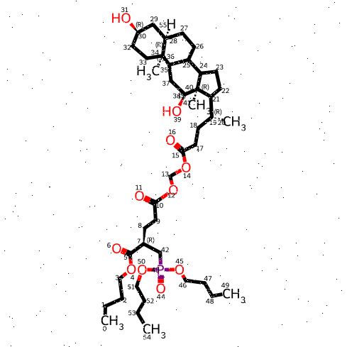 CCCCOC(=O)[C@@H](CCC(=O)OCOC(=O)CC[C@@H](C)C1CCC2C3CC[C@@H]4C[C@H](O)CC[C@]4(C)C3C[C@H](O)[C@@]21C)CP(=O)(OCCCC)OCCCC